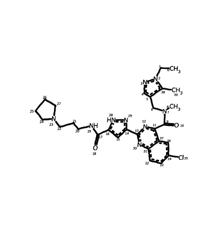 CCn1ncc(CN(C)C(=O)c2nc(-c3cc(C(=O)NCCCN4CCCC4)[nH]n3)nc3ccc(Cl)cc23)c1C